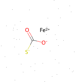 O=C([O-])[S-].[Fe+2]